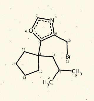 CC(C)CC1(c2ocnc2CBr)CCCC1